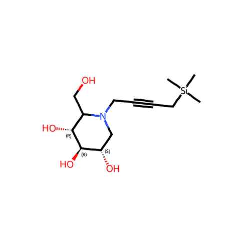 C[Si](C)(C)CC#CCN1C[C@H](O)[C@@H](O)[C@H](O)C1CO